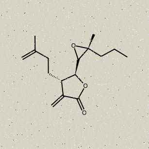 C=C(C)CC[C@H]1C(=C)C(=O)O[C@@H]1C1O[C@]1(C)CCC